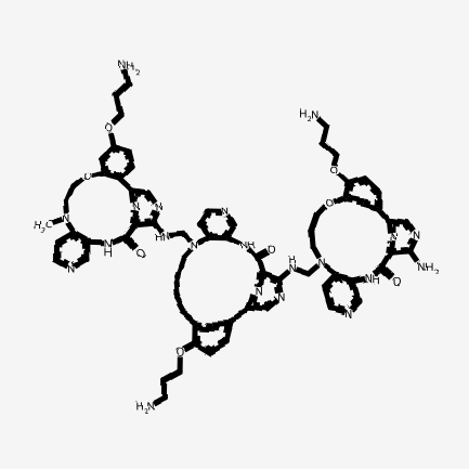 CN1CCOc2cc(OCCCN)ccc2-c2cnc(NCN3CCCCc4cc(ccc4OCCCN)-c4cnc(NCN5CCCOc6cc(ccc6OCCCN)-c6cnc(N)c(n6)C(=O)Nc6cnccc65)c(n4)C(=O)Nc4cnccc43)c(n2)C(=O)Nc2cnccc21